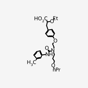 CCCOCCCN(CCOc1ccc(CC(OCC)C(=O)O)cc1)C(=O)Nc1cccc(C)c1